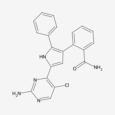 NC(=O)c1ccccc1-c1cc(-c2nc(N)ncc2Cl)[nH]c1-c1ccccc1